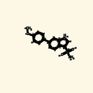 COc1ccc(-c2ccc3c(S(N)(=O)=O)c[nH]c3c2)cc1